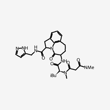 CC[C@H](C)[C@@H](C(=O)NC1CCc2cccc3c2N(C1=O)C(C(=O)NCc1ccn[nH]1)C3)N(C)C(=O)CC(=O)NC